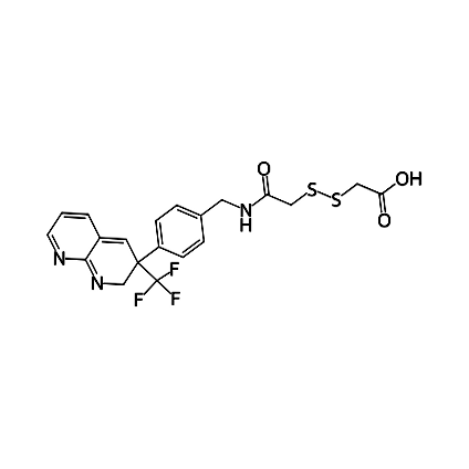 O=C(O)CSSCC(=O)NCc1ccc(C2(C(F)(F)F)C=c3cccnc3=NC2)cc1